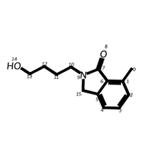 Cc1cccc2c1C(=O)N(CCCCO)C2